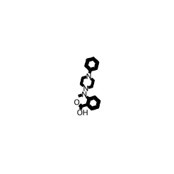 CN(c1ccccc1C(=O)O)N1CCN(c2ccccc2)CC1